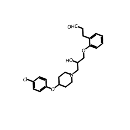 O=CCCc1ccccc1OCC(O)CN1CCC(Oc2ccc(Cl)cc2)CC1